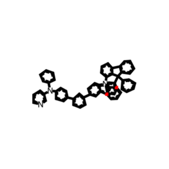 c1ccc(N(c2ccc(-c3cccc(-c4ccc5c(c4)c4ccccc4n5-c4cccc5c4C(c4ccccc4)(c4ccccc4)c4ccccc4-5)c3)cc2)c2cccnc2)cc1